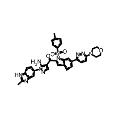 Cc1ccc(S(=O)(=O)n2c(C(=O)c3cnn(-c4ccc5[nH]c(C)nc5c4)c3N)cc3ccc(-c4ccc(N5CCOCC5)nn4)cc32)cc1